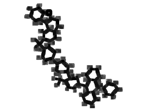 CC1(C)c2ccc(-c3c4ccccc4c(-c4ccccc4)c4ccccc34)cc2-c2ccc(-c3ccc4c(c3)-c3cc5ccc6oc7ccccc7c6c5cc3C4(C)C)cc21